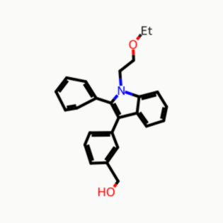 CCOCCn1c(-c2ccccc2)c(-c2cccc(CO)c2)c2ccccc21